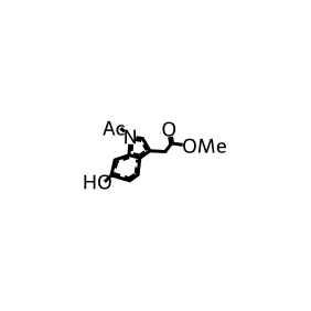 COC(=O)Cc1cn(C(C)=O)c2cc(O)ccc12